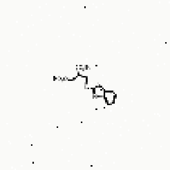 CCOC(=O)C(CSc1nc2ccccc2s1)CC(=O)O